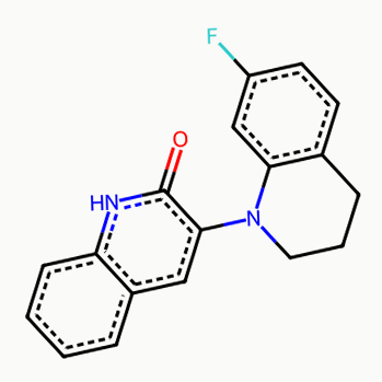 O=c1[nH]c2ccccc2cc1N1CCCc2ccc(F)cc21